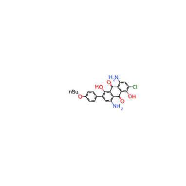 CCCCOc1ccc(-c2cc(N)c3c(c2O)C(=O)c2c(N)cc(Cl)c(O)c2C3=O)cc1